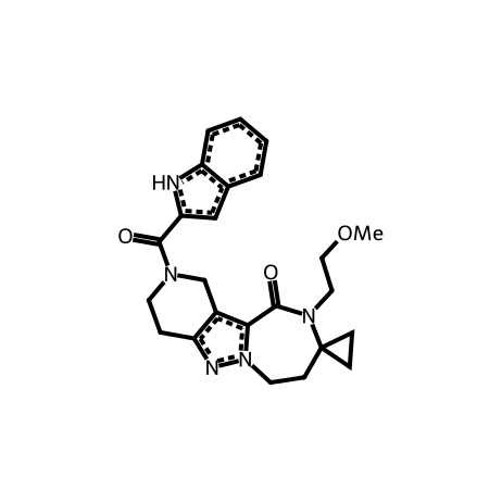 COCCN1C(=O)c2c3c(nn2CCC12CC2)CCN(C(=O)c1cc2ccccc2[nH]1)C3